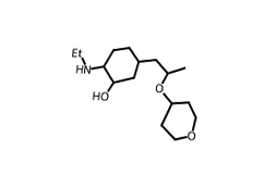 CCNC1CCC(CC(C)OC2CCOCC2)CC1O